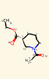 CCOC(=O)[C@@H]1CCCN(C(C)=O)C1